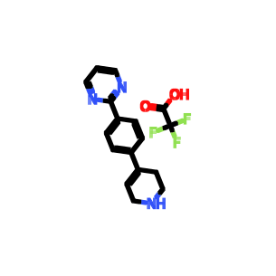 C1=C(c2ccc(-c3ncccn3)cc2)CCNC1.O=C(O)C(F)(F)F